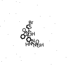 CC(c1ccc(Br)s1)N1C(=O)c2ccccc2C1(O)c1ccc2[nH]c(N(C)C(=O)O)nc2c1